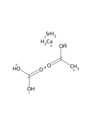 CC(=O)O.O=C(O)O.[CaH2].[SrH2]